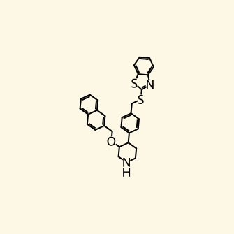 c1ccc2cc(COC3CNCCC3c3ccc(CSc4nc5ccccc5s4)cc3)ccc2c1